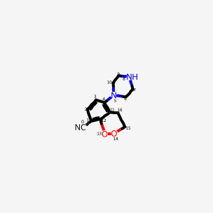 N#Cc1ccc(N2CCNCC2)c2c1OOCC2